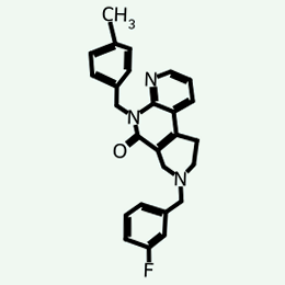 Cc1ccc(Cn2c(=O)c3c(c4cccnc42)CCN(Cc2cccc(F)c2)C3)cc1